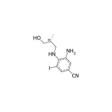 C[C@@H](CO)CNc1c(N)cc(C#N)cc1I